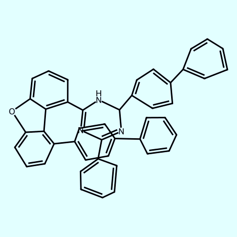 c1ccc(C2=NC(c3ccc(-c4ccccc4)cc3)NC(c3cccc4oc5cccc(-c6ccc(-c7ccccc7)cc6)c5c34)=N2)cc1